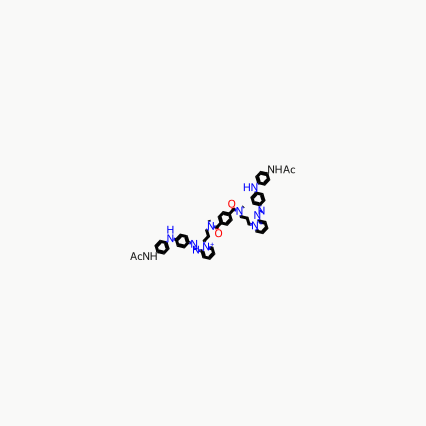 CC(=O)Nc1ccc(Nc2ccc(N=Nc3cccc[n+]3CCCN(C)C(=O)c3ccc(C(=O)N(C)CCC[n+]4ccccc4/N=N/c4ccc(Nc5ccc(NC(C)=O)cc5)cc4)cc3)cc2)cc1